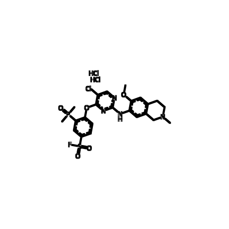 COc1cc2c(cc1Nc1ncc(Cl)c(Oc3ccc(S(=O)(=O)F)cc3P(C)(C)=O)n1)CN(C)CC2.Cl.Cl